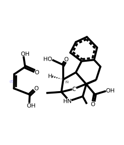 CC1NC2(C)CC3Cc4ccccc4C([C@@H]2C(=O)O)C31C(=O)O.O=C(O)/C=C\C(=O)O